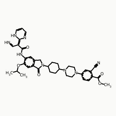 COC(=O)c1ccc(N2CCN(C3CCC(N4Cc5cc(NC(=O)/C(C=N)=C6\N=CC=CN6)c(OC(C)C)cc5C4=O)CC3)CC2)cc1C#N